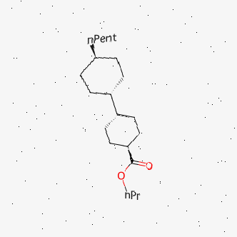 CCCCC[C@H]1CC[C@H]([C@H]2CC[C@H](C(=O)OCCC)CC2)CC1